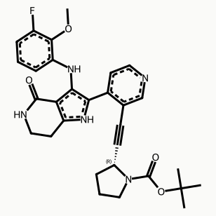 COc1c(F)cccc1Nc1c(-c2ccncc2C#C[C@H]2CCCN2C(=O)OC(C)(C)C)[nH]c2c1C(=O)NCC2